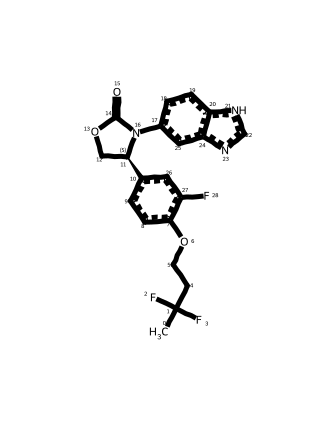 CC(F)(F)CCOc1ccc([C@H]2COC(=O)N2c2ccc3[nH]cnc3c2)cc1F